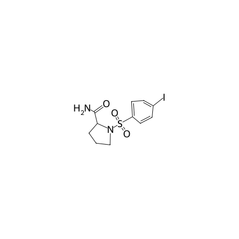 NC(=O)C1CCCN1S(=O)(=O)c1ccc(I)cc1